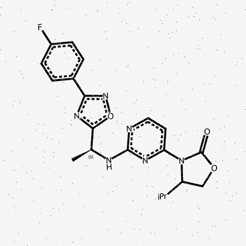 CC(C)C1COC(=O)N1c1ccnc(N[C@@H](C)c2nc(-c3ccc(F)cc3)no2)n1